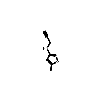 C#CCNc1cc(C)on1